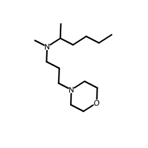 CCCCC(C)N(C)CCCN1CCOCC1